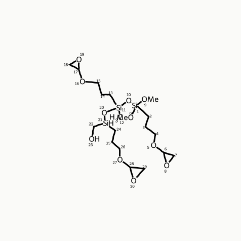 CO[Si](CCCOC1CO1)(OC)O[Si](C)(CCCOC1CO1)O[SiH](CO)CCCOC1CO1